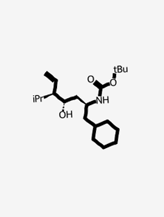 C=C[C@H](C(C)C)[C@@H](O)C[C@H](CC1CCCCC1)NC(=O)OC(C)(C)C